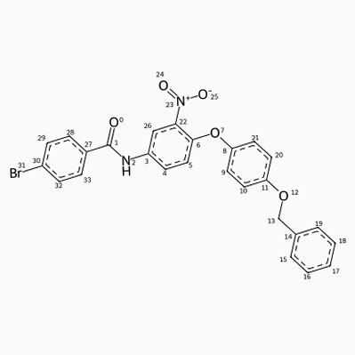 O=C(Nc1ccc(Oc2ccc(OCc3ccccc3)cc2)c([N+](=O)[O-])c1)c1ccc(Br)cc1